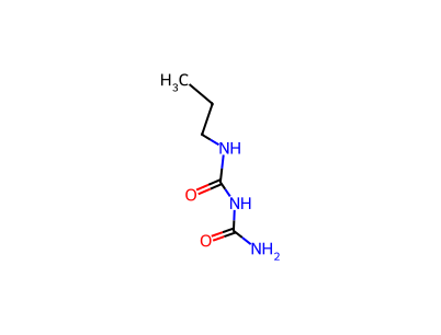 CCCNC(=O)NC(N)=O